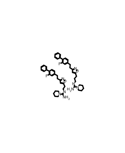 NC(=NCCCc1cc(CCc2ccc(-c3ccccc3)c(F)c2)no1)N1CCCCC1.NC(=NCCc1cc(CCc2ccc(-c3ccccc3)c(F)c2)no1)N1CCCCC1